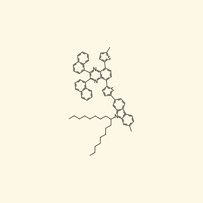 CCCCCCCCC(CCCCCCCC)n1c2cc(C)ccc2c2ccc(-c3ccc(-c4ccc(-c5ccc(C)s5)c5nc(-c6cccc7ccccc67)c(-c6cccc7ccccc67)nc45)s3)cc21